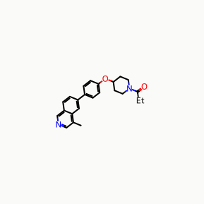 CCC(=O)N1CCC(Oc2ccc(-c3ccc4cncc(C)c4c3)cc2)CC1